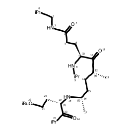 CC(C)CNC(=O)CC[C@H](NC(C)C)C(=O)[C@H](C)CC[C@H](C)N[C@@H](CCOCC(C)C)C(=O)C(C)C